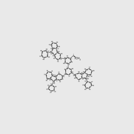 C=Cc1cc(-c2cc(-c3ccc4c(c3)c3ccccc3n4-c3ccccc3)cc(-c3ccc4c(c3)c3ccccc3n4-c3ccccc3)c2)cc(-c2ccc3c(c2)c2ccccc2n3-c2ccccc2)c1